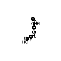 O=C(NS(=O)(=O)Cc1ccccc1)c1ccc(N2CCN(C(=O)c3ccc(-c4cncc(O)c4)c(F)c3)CC2)cc1